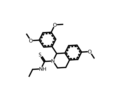 CCNC(=S)N1CCc2cc(OC)ccc2C1c1cc(OC)cc(OC)c1